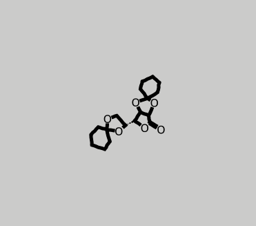 O=C1OC([C@H]2COC3(CCCCC3)O2)C2OC3(CCCCC3)OC12